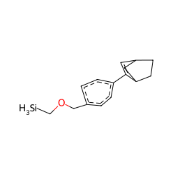 [SiH3]COCc1ccc(C2=CC3CCC2C3)cc1